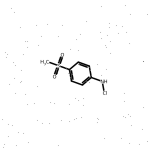 CS(=O)(=O)c1ccc(NCl)cc1